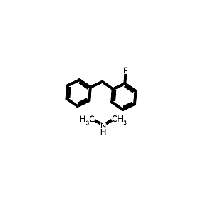 CNC.Fc1ccccc1Cc1ccccc1